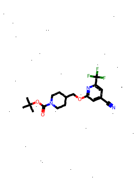 CC(C)(C)OC(=O)N1CCC(COc2cc(C#N)cc(C(F)(F)F)n2)CC1